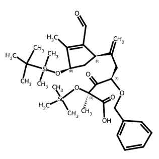 C=C(C[C@@H](OCc1ccccc1)C(=O)[C@](C)(O[Si](C)(C)C)C(=O)O)[C@H]1C[C@@H](O[Si](C)(C)C(C)(C)C)C(C)=C1C=O